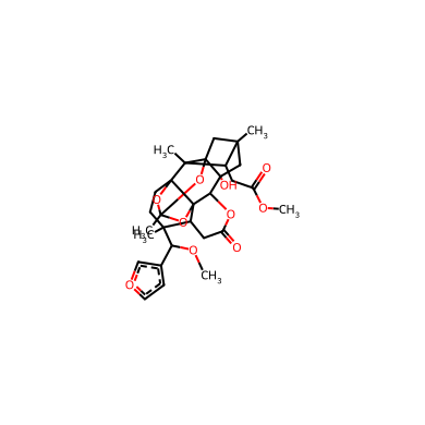 COC(=O)CC1C2(C)CC3(O)C4OC(=O)CC5C(C)(C(OC)c6ccoc6)CCC67OC(C)(OC546)OC3(C2)C17C